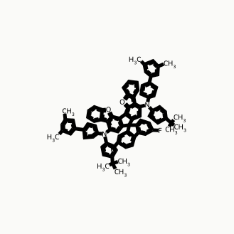 Cc1cc(C)cc(-c2ccc(N(c3ccc(C(C)(C)C)cc3)c3cc4c(c5oc6ccccc6c35)-c3c(cc(N(c5ccc(-c6cc(C)cc(C)c6)cc5)c5ccc(C(C)(C)C)cc5)c5c3oc3ccccc35)C43c4ccc(F)cc4-c4ccc(F)cc43)cc2)c1